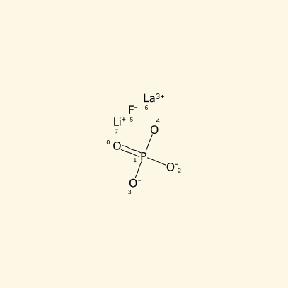 O=P([O-])([O-])[O-].[F-].[La+3].[Li+]